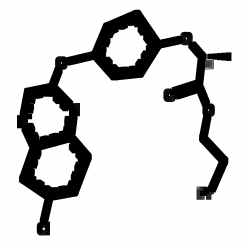 CC(C)CCOC(=O)[C@@H](C)Oc1ccc(Oc2cnc3cc(Cl)ccc3n2)cc1